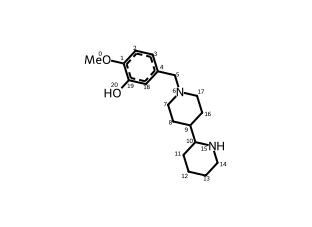 COc1ccc(CN2CCC(C3CCCCN3)CC2)cc1O